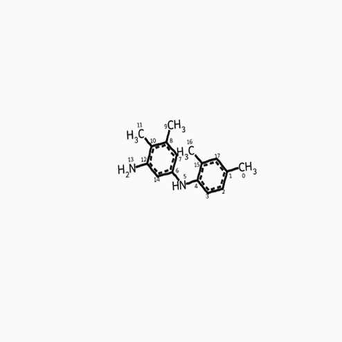 Cc1ccc(Nc2cc(C)c(C)c(N)c2)c(C)c1